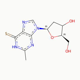 Cc1nc2c(ncn2[C@H]2CC(O)[C@@H](CO)O2)c(=S)[nH]1